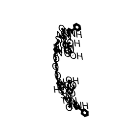 O=c1c2nc(SCCn3cc(COCCOCCOCc4cn(CCSc5nc6c(=O)n7cc(-c8ccccc8)[nH]c7nc6n5[C@@H]5OC6COP(O)O[C@H]6C5O)nn4)nn3)n([C@@H]3OC4COP(O)O[C@H]4C3O)c2nc2[nH]c(-c3ccccc3)cn12